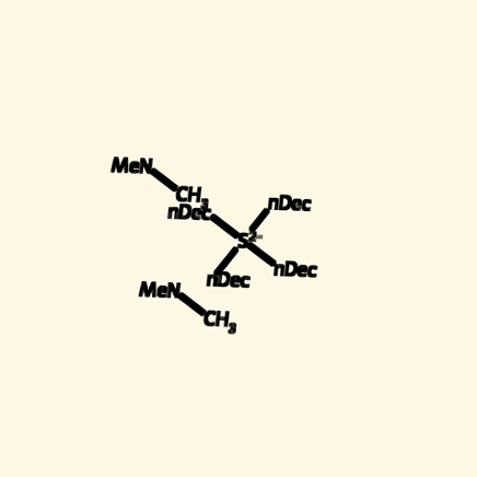 CCCCCCCCCC[S-2](CCCCCCCCCC)(CCCCCCCCCC)CCCCCCCCCC.C[NH2+]C.C[NH2+]C